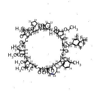 CCO[C@@H]1C[C@H]2C(=O)NC3(CCCC3)C(=O)N(C)[C@@H](C3CCCC3)C(=O)N(C)[C@H](C(=O)N(C)C)CC(=O)N(C)[C@@H]([C@@H](C)OC)C(=O)N[C@@H]([C@@H](C)CC)C(=O)N(C)CC(=O)N(C)[C@H]3C/C=C\CCN(C3=O)[C@@H](Cc3ccc(C)cc3)C(=O)N(C)CC(=O)N[C@@H](CCc3cc(F)c(C(F)(F)F)c(F)c3)C(=O)N2C1